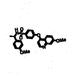 COc1ccc([C@@H](C)NS(=O)(=O)c2ccc(Oc3ccnc4cc(OC)ccc34)cc2)cc1